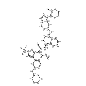 C[C@H]1CCCCN1c1nnc2ccc(O[C@@H]3CC[C@H](NC(=O)N(OC=O)c4cc(C(C)(C)C)nn4-c4cccc(CN5CCCCC5)c4)c4ccccc43)cn12